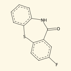 O=C1Nc2ccccc2Sc2ccc(F)cc21